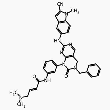 CN(C)C/C=C/C(=O)Nc1cccc(N2C(=O)N(Cc3ccccc3)Cc3cnc(Nc4ccc5c(c4)cc(C#N)n5C)nc32)c1